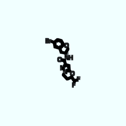 O=C(N[C@H]1COc2ccc(Br)cc2C1)c1cc2n(n1)CCC(C(F)F)O2